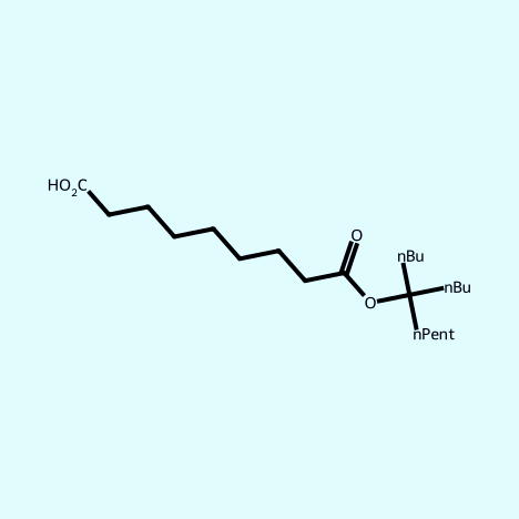 CCCCCC(CCCC)(CCCC)OC(=O)CCCCCCCC(=O)O